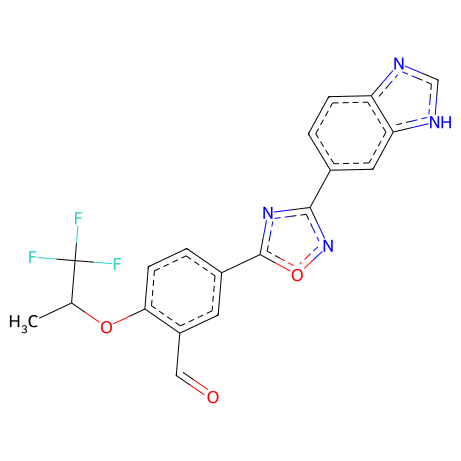 CC(Oc1ccc(-c2nc(-c3ccc4nc[nH]c4c3)no2)cc1C=O)C(F)(F)F